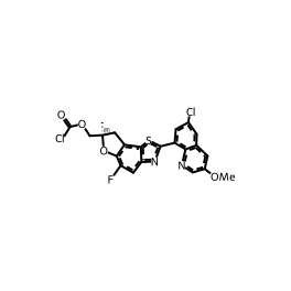 COc1cnc2c(-c3nc4cc(F)c5c(c4s3)C[C@](C)(COC(=O)Cl)O5)cc(Cl)cc2c1